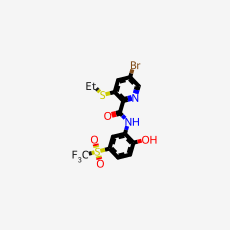 CCSc1cc(Br)cnc1C(=O)Nc1cc(S(=O)(=O)C(F)(F)F)ccc1O